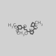 COc1ccc(C(=O)CCC(=O)c2cccc(-c3csc4c(C)cccc34)n2)cc1OC